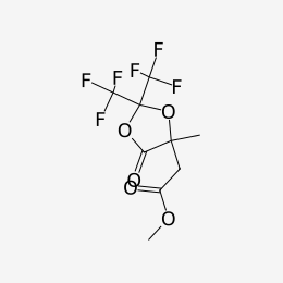 COC(=O)CC1(C)OC(C(F)(F)F)(C(F)(F)F)OC1=O